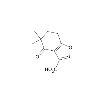 CC1(C)CCc2occ(C(=O)O)c2C1=O